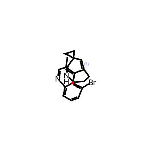 Cc1cnc2cccc(Br)c2c1/C1=C\C2(CC2)CNCCC1